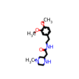 COc1ccc(CCNC(=O)CC2CN(C)CCN2)cc1OC